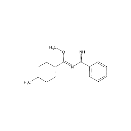 CO/C(=N\C(=N)c1ccccc1)C1CCC(C)CC1